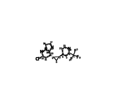 FC(F)(F)c1cc([C@H]2C[C@@H]2c2cc(Cl)nn3ccnc23)ccn1